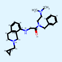 CN(C)CCN(Cc1ccccc1)C(=O)CNc1cccc2c1CN(CC1CC1)CC2